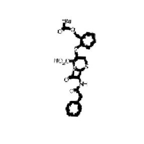 CC(C)(C)C(=O)OCc1ccccc1SC1=C(C(=O)O)N2C(=O)C(NC(=O)Cc3ccccc3)C2SC1